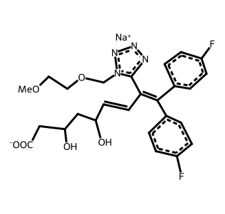 COCCOCn1nnnc1C(C=CC(O)CC(O)CC(=O)[O-])=C(c1ccc(F)cc1)c1ccc(F)cc1.[Na+]